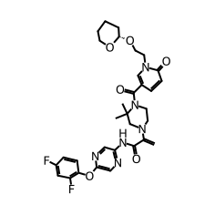 C=C(C(=O)Nc1cnc(Oc2ccc(F)cc2F)cn1)N1CCN(C(=O)c2ccc(=O)n(CCO[C@H]3CCCCO3)c2)C(C)(C)C1